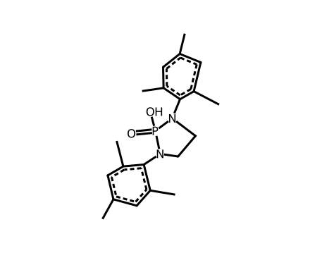 Cc1cc(C)c(N2CCN(c3c(C)cc(C)cc3C)P2(=O)O)c(C)c1